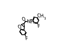 Cc1cc(F)cc(CNC(=O)C2C3Oc4ccc(F)cc4C32)c1